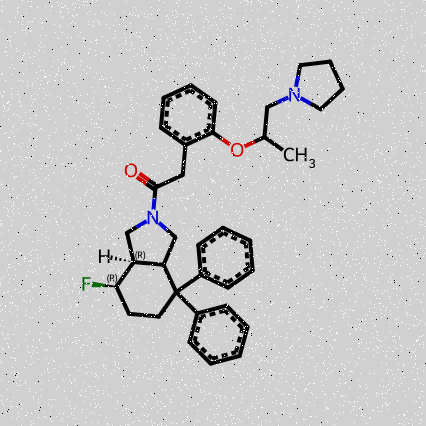 CC(CN1CCCC1)Oc1ccccc1CC(=O)N1CC2[C@H](C1)[C@H](F)CCC2(c1ccccc1)c1ccccc1